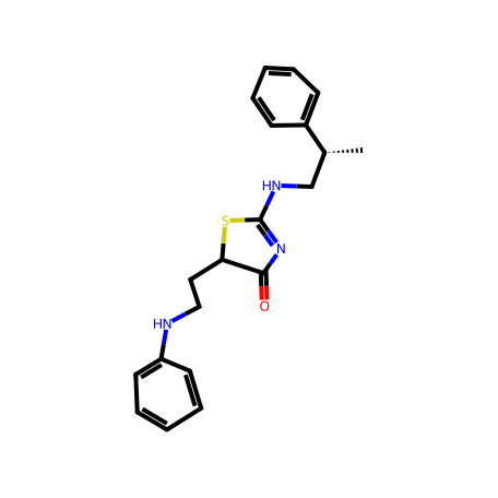 C[C@H](CNC1=NC(=O)C(CCNc2ccccc2)S1)c1ccccc1